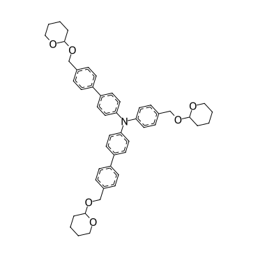 c1cc(-c2ccc(N(c3ccc(COC4CCCCO4)cc3)c3ccc(-c4ccc(COC5CCCCO5)cc4)cc3)cc2)ccc1COC1CCCCO1